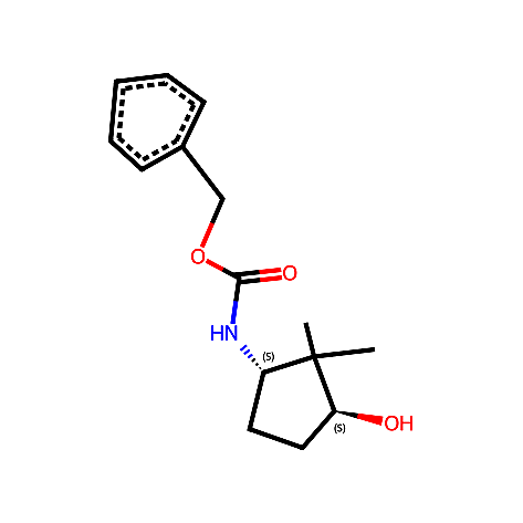 CC1(C)[C@@H](NC(=O)OCc2ccccc2)CC[C@@H]1O